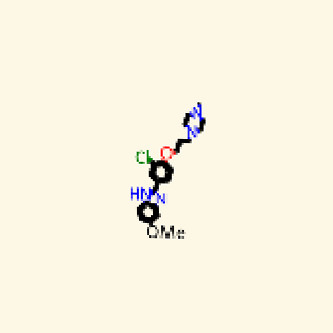 COc1ccc2[nH]c(-c3ccc(OCCCN4CCN(C)CC4)c(Cl)c3)nc2c1